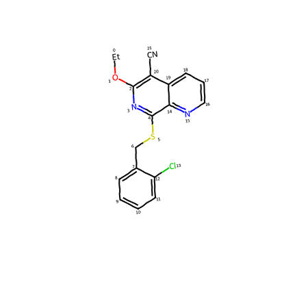 CCOc1nc(SCc2ccccc2Cl)c2ncccc2c1C#N